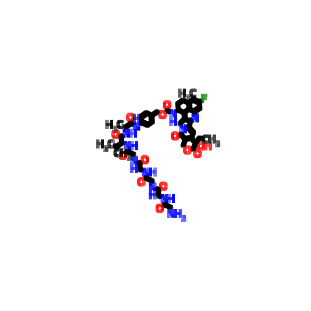 CC[C@@]1(O)C(=O)OCc2c1cc1n(c2=O)Cc2c-1nc1cc(F)c(C)c3c1c2[C@@H](NC(=O)OCc1ccc(NC(=O)[C@@H](C)NC(=O)[C@H](NC(=O)CNC(=O)CNC(=O)CNC(=O)CNC(=O)CN)C(C)C)cc1)CC3